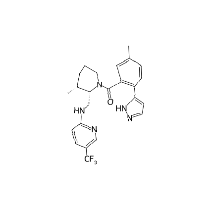 Cc1ccc(-c2ccn[nH]2)c(C(=O)N2CCC[C@@H](C)[C@H]2CNc2ccc(C(F)(F)F)cn2)c1